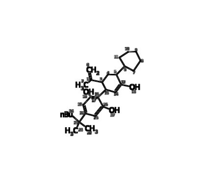 C=C(C)C1CC(C2CCCCC2)C(O)=CC1c1c(O)cc(C(C)(C)CCCC)cc1O